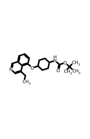 CCc1cncc2cccc(OC3CCC(NC(=O)OC(C)(C)C)CC3)c12